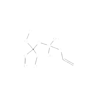 C=CO[Si](O)(O)OC(OCC)(OCC)OCC